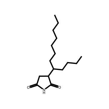 CCCCCCCC(CCCC)C1CC(=O)NC1=O